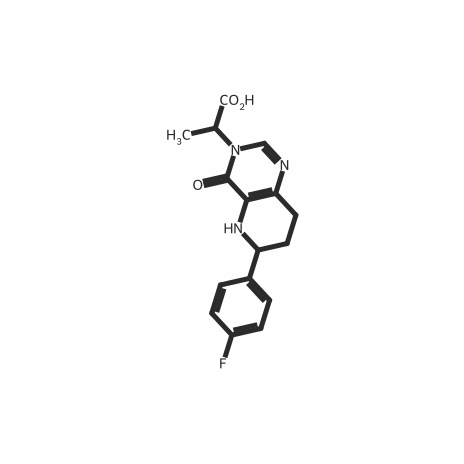 CC(C(=O)O)n1cnc2c(c1=O)NC(c1ccc(F)cc1)CC2